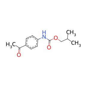 CC(=O)c1ccc(NC(=O)OCC(C)C)cc1